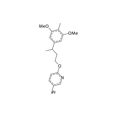 COc1cc(C(C)CCOc2ccc(C(C)C)cn2)cc(OC)c1C